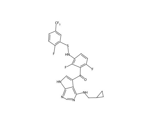 O=C(c1c(F)ccc(NSc2cc(C(F)(F)F)ccc2F)c1F)c1c[nH]c2ncnc(NCC3CC3)c12